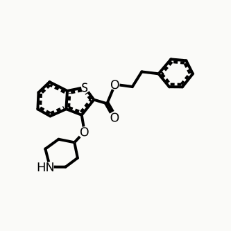 O=C(OCCc1ccccc1)c1sc2ccccc2c1OC1CCNCC1